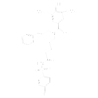 COc1cc(C(=O)N(CCCCC(=O)NS(=O)(=O)c2ccc(F)cc2)CCCc2ccccc2)cc(OC)c1C